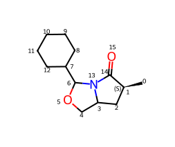 C[C@H]1CC2COC(C3CCCCC3)N2C1=O